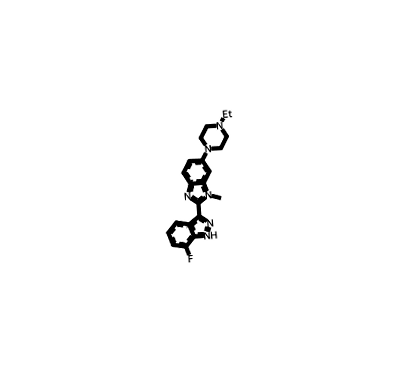 CCN1CCN(c2ccc3nc(-c4n[nH]c5c(F)cccc45)n(C)c3c2)CC1